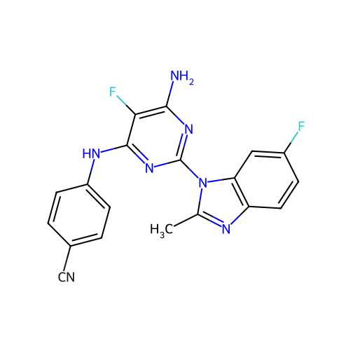 Cc1nc2ccc(F)cc2n1-c1nc(N)c(F)c(Nc2ccc(C#N)cc2)n1